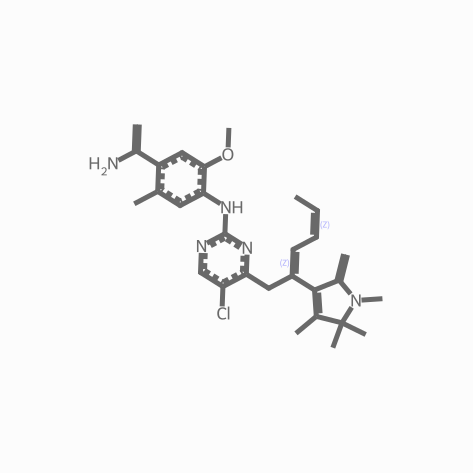 C=C(N)c1cc(OC)c(Nc2ncc(Cl)c(C/C(=C/C=C\C)C3=C(C)C(C)(C)N(C)C3=C)n2)cc1C